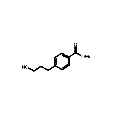 COC(=O)c1ccc(CCCC#N)cc1